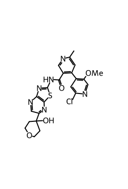 COc1cnc(Cl)cc1-c1cc(C)ncc1C(=O)Nc1nc2ncc(C3(O)CCOCC3)nc2s1